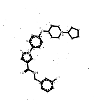 O=C(NCc1cccc(F)c1)c1cnn(-c2ccc(OC3CCN(C4CCCC4)CC3)cc2)c1